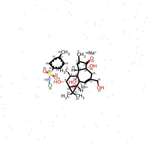 CC1=C[C@H]2[C@@]3(O)[C@H](C)[C@@H](O)[C@]4(O)[C@H]([C@@H]3C=C(CO)C[C@]2(O)C1=O)C4(C)C.Cc1ccc(S(=O)(=O)[N-]Cl)cc1.[Na+]